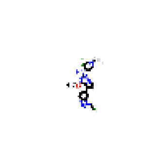 COc1nc(N[C@@H]2CCN(C)CC2(F)F)nn2cc(F)c(-c3ccc4nnn(CCF)c4c3)c12